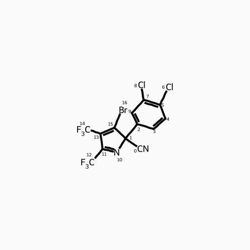 N#CC1(c2ccc(Cl)c(Cl)c2)N=C(C(F)(F)F)C(C(F)(F)F)=C1Br